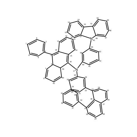 C1=CC2C(c3ccccc3)=c3ccccc3=C(N(c3cccc(-c4cccc5cccc(-c6ccccc6)c45)c3)c3cccc(-n4c5ccccc5c5ccccc54)c3)C2C=C1